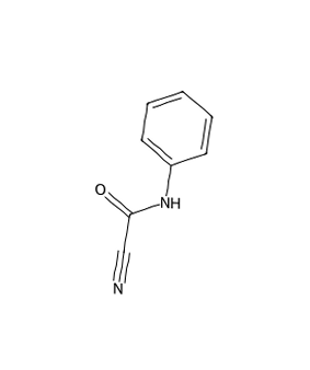 N#CC(=O)Nc1ccccc1